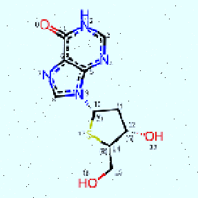 O=c1[nH]cnc2c1ncn2[C@@H]1C[C@H](O)[C@@H](CO)S1